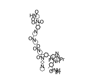 Cc1cc(F)c(Nc2nc(-c3ccc4c(c3)N([C@H]3C[C@@H](N5CCCCC5)C3)C(=O)C43CCN(C(=O)OC4CCN(C(=O)C5CCN(c6ccc7c(c6)C(=O)N(C6CCC(=O)NC6=O)C7=O)CC5)CC4)CC3)cc3ncn(C(C)C)c23)cc1C(=O)NC(C)C